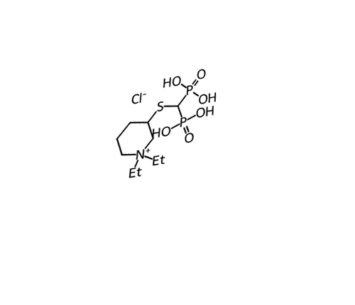 CC[N+]1(CC)CCCC(SC(P(=O)(O)O)P(=O)(O)O)C1.[Cl-]